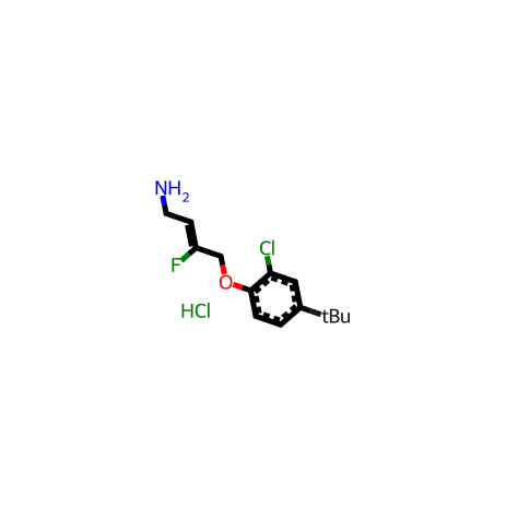 CC(C)(C)c1ccc(OCC(F)=CCN)c(Cl)c1.Cl